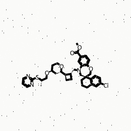 COC(=O)c1ccc2c(c1)N(C[C@@H]1CC[C@H]1[C@@H]1C[C@@H](OC[C@H](C)Sc3ncccn3)CCO1)C[C@@]1(CCCc3cc(Cl)ccc31)CO2